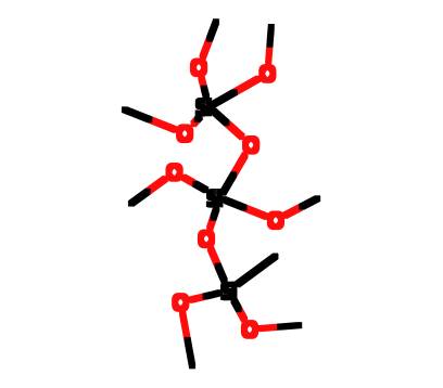 CO[Si](C)(OC)O[Si](OC)(OC)O[Si](OC)(OC)OC